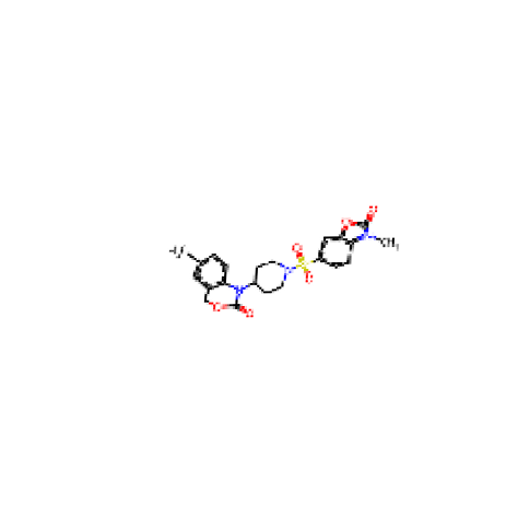 Cc1ccc2c(c1)COC(=O)N2C1CCN(S(=O)(=O)c2ccc3c(c2)oc(=O)n3C)CC1